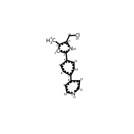 Cc1oc(-c2ccc(-c3ccncc3)cc2)nc1CCl